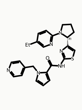 CCc1ccc(N2CCC[C@@H]2c2csc(NC(=O)c3cccn3Cc3ccncc3)n2)nc1